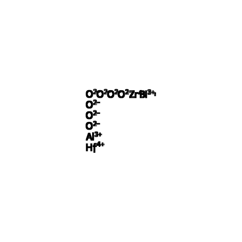 [Al+3].[Bi+3].[Hf+4].[O-2].[O-2].[O-2].[O-2].[O-2].[O-2].[O-2].[Zr+4]